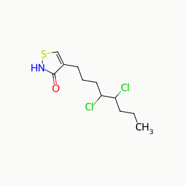 CCCC(Cl)C(Cl)CCCc1cs[nH]c1=O